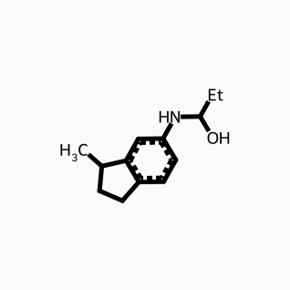 CCC(O)Nc1ccc2c(c1)C(C)CC2